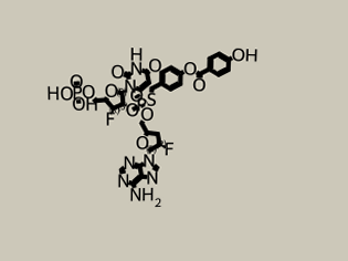 Nc1ncnc2c1ncn2[C@@H]1OC(COP(=O)(O[C@@H]2[C@H](F)C(COP(=O)(O)O)O[C@H]2n2ccc(=O)[nH]c2=O)SCc2ccc(OC(=O)c3ccc(O)cc3)cc2)C[C@H]1F